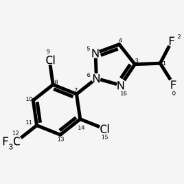 FC(F)c1cnn(-c2c(Cl)cc(C(F)(F)F)cc2Cl)n1